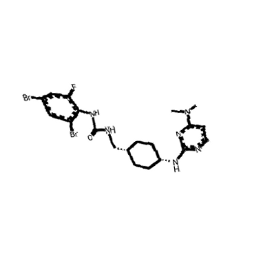 CN(C)c1ccnc(N[C@H]2CC[C@@H](CNC(=O)Nc3c(F)cc(Br)cc3Br)CC2)n1